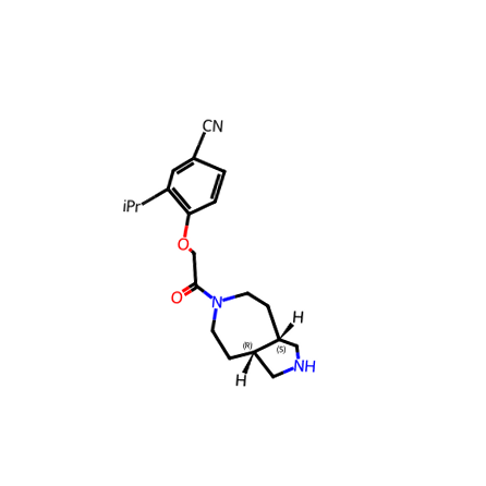 CC(C)c1cc(C#N)ccc1OCC(=O)N1CC[C@@H]2CNC[C@@H]2CC1